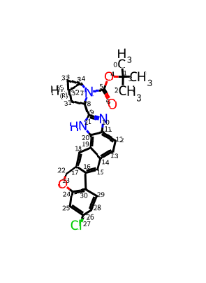 CC(C)(C)OC(=O)N1C(c2nc3ccc4cc5c(cc4c3[nH]2)COc2cc(Cl)ccc2-5)C[C@H]2CC21